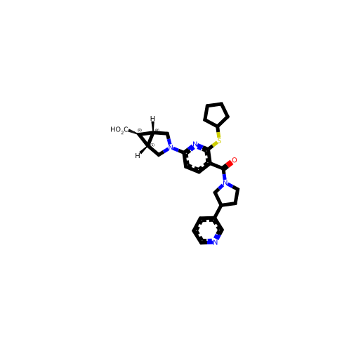 O=C(O)[C@H]1[C@@H]2CN(c3ccc(C(=O)N4CCC(c5cccnc5)C4)c(SC4CCCC4)n3)C[C@@H]21